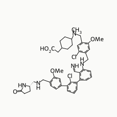 COc1cc(-c2cccc(-c3cccc(NCc4cc(OC)c(CN(C)C5CCC(CC(=O)O)CC5)cc4Cl)c3C=N)c2Cl)ccc1CNC[C@@H]1CCC(=O)N1